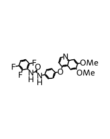 COc1cc2nccc(Oc3ccc(NC(=O)Nc4c(F)ccc(F)c4F)cc3)c2cc1OC